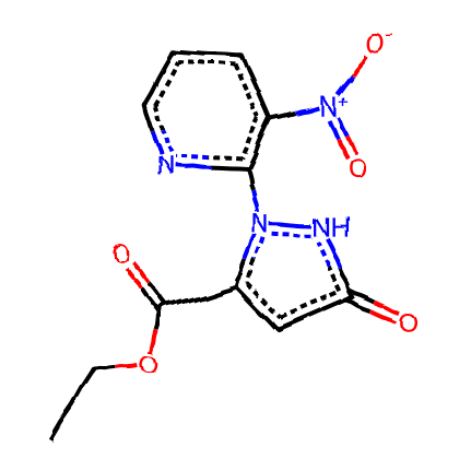 CCOC(=O)c1cc(=O)[nH]n1-c1ncccc1[N+](=O)[O-]